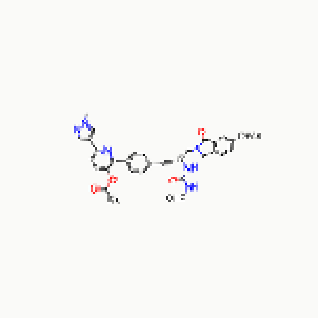 CCC(=O)Oc1ccc(-c2cnn(C)c2)nc1-c1ccc(C#C[C@H](CN2Cc3ccc(OC)cc3C2=O)NC(=O)NC=O)cc1